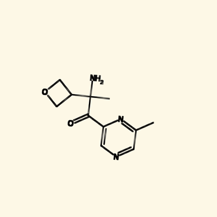 Cc1cncc(C(=O)C(C)(N)C2COC2)n1